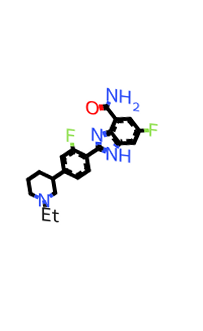 CCN1CCCC(c2ccc(-c3nc4c(C(N)=O)cc(F)cc4[nH]3)c(F)c2)C1